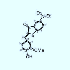 CCN(CC)c1ccc2c(c1)C(=O)C(=Cc1ccc(O)c(OC)c1)C2